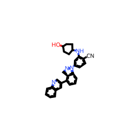 N#Cc1ccc(-n2ncc3c(-c4cnc5ccccc5c4)cccc32)cc1NC1CCC(O)CC1